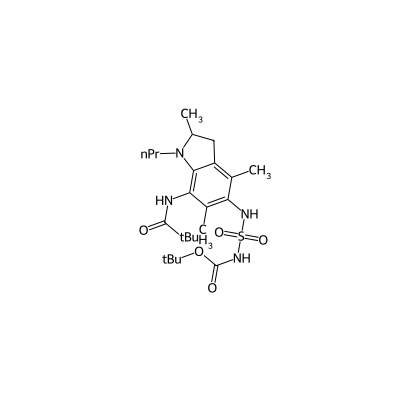 CCCN1c2c(c(C)c(NS(=O)(=O)NC(=O)OC(C)(C)C)c(C)c2NC(=O)C(C)(C)C)CC1C